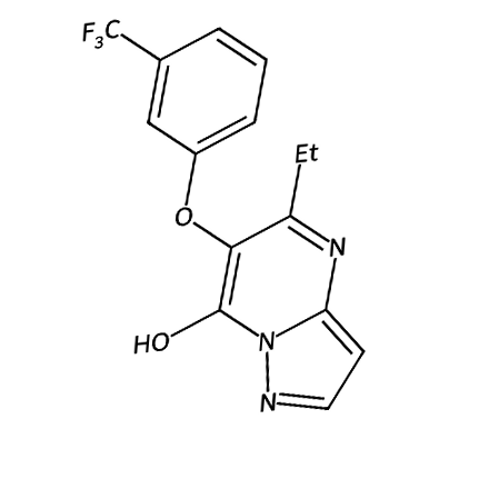 CCc1nc2ccnn2c(O)c1Oc1cccc(C(F)(F)F)c1